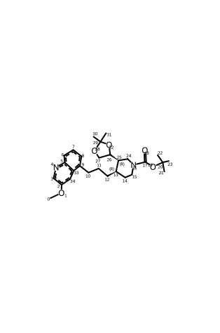 COc1cnc2cccc(CCC[C@@H]3CCN(C(=O)OC(C)(C)C)C[C@@H]3C3COC(C)(C)O3)c2c1